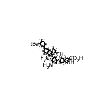 Cc1ccn(-c2cc(-c3cccc(C(C)(C)C)c3)ccc2C(Oc2cc(N3CCC4(CC3)CN[C@H](C(=O)O)C4)nc(N)n2)C(F)(F)F)n1